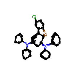 Clc1ccc2sc3c(N(c4ccccc4)c4ccccc4)cc(N(c4ccccc4)c4ccccc4)cc3c2c1